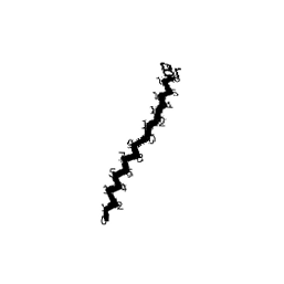 CCCCCCCCCCCCCCCCCC[CH]Br